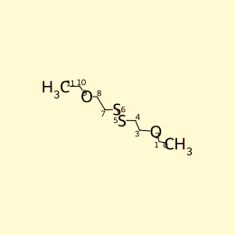 CCOCCSSCCOCC